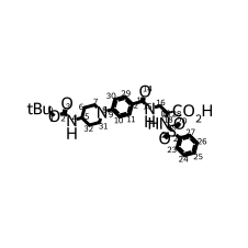 CC(C)(C)OC(=O)NC1CCN(c2ccc(C(=O)NC[C@H](NS(=O)(=O)c3ccccc3)C(=O)O)cc2)CC1